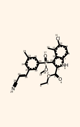 CCOC(=O)c1[nH]c2ccc(Cl)c(C)c2c1[P@](=O)(OC)c1cc(C)cc(/C=C/C#N)c1